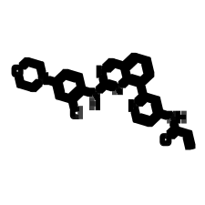 C=CC(=O)Nc1ccnc(-c2cccc3cnc(Nc4ccc(N5CCOCC5)cc4Cl)nc23)c1